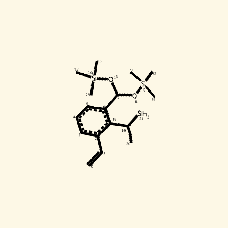 C=Cc1cccc(C(O[Si](C)(C)C)O[Si](C)(C)C)c1C(C)[SiH3]